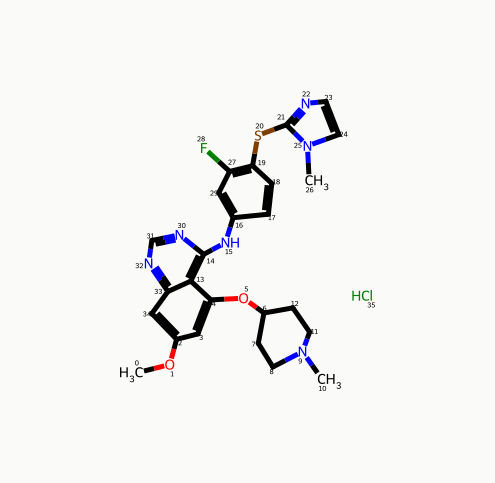 COc1cc(OC2CCN(C)CC2)c2c(Nc3ccc(Sc4nccn4C)c(F)c3)ncnc2c1.Cl